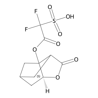 O=C1O[C@H]2CC3CC1C2(OC(=O)C(F)(F)S(=O)(=O)O)C3